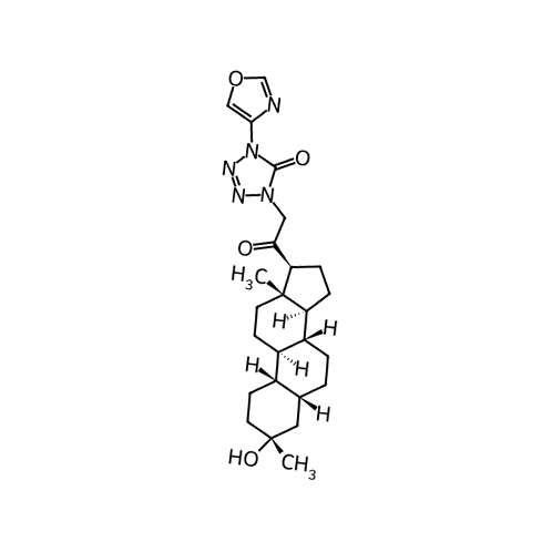 C[C@@]1(O)CC[C@H]2[C@H](CC[C@@H]3[C@@H]2CC[C@]2(C)[C@@H](C(=O)Cn4nnn(-c5cocn5)c4=O)CC[C@@H]32)C1